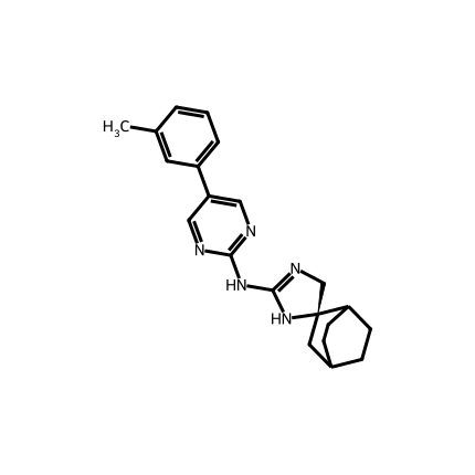 Cc1cccc(-c2cnc(NC3=NC[C@@]4(CC5CCC4CC5)N3)nc2)c1